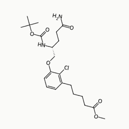 COC(=O)CCCCc1cccc(OC[C@@H](CCC(N)=O)NC(=O)OC(C)(C)C)c1Cl